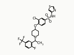 CC(c1cc(C(F)(F)F)ccc1F)N1CCC(Oc2ccc(S(=O)(=O)Nc3cscn3)cc2Cl)CC1